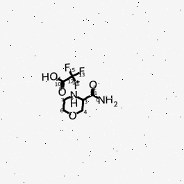 NC(=O)C1COCCN1.O=C(O)C(F)(F)F